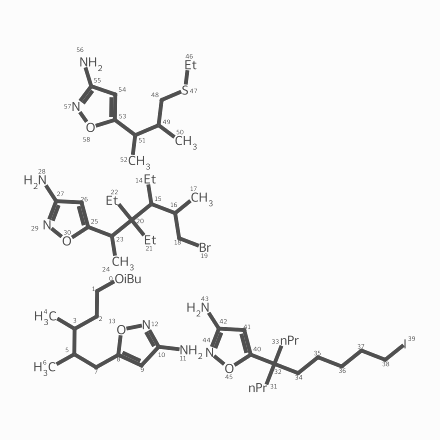 CC(C)COCCC(C)C(C)Cc1cc(N)no1.CCC(C(C)CBr)C(CC)(CC)C(C)c1cc(N)no1.CCCC(CCC)(CCCCCI)c1cc(N)no1.CCSCC(C)C(C)c1cc(N)no1